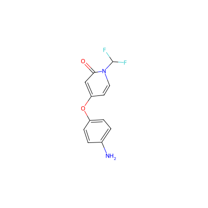 Nc1ccc(Oc2ccn(C(F)F)c(=O)c2)cc1